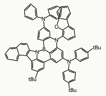 CC(C)(C)c1ccc(N(c2ccc(C(C)(C)C)cc2)c2cc3c4c(c2)N(c2cccc5c2oc2ccccc25)c2cc(N(c5ccccc5)c5ccccc5)ccc2B4n2c4ccc5ccccc5c4c4cc(C(C)(C)C)cc-3c42)cc1